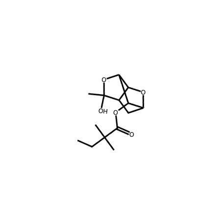 CCC(C)(C)C(=O)OC1C2CC3C(O2)C1OC3(C)O